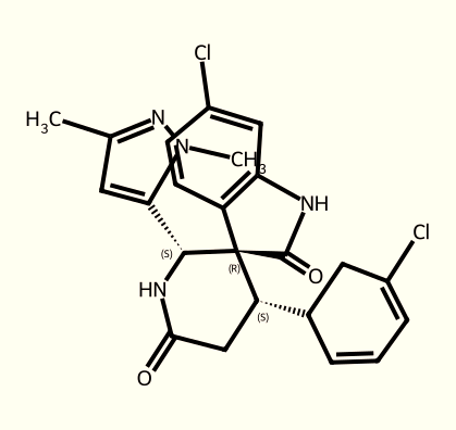 Cc1cc([C@H]2NC(=O)C[C@@H](C3C=CC=C(Cl)C3)[C@]23C(=O)Nc2cc(Cl)ccc23)n(C)n1